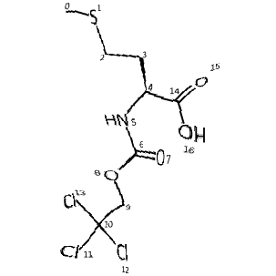 CSCC[C@H](NC(=O)OCC(Cl)(Cl)Cl)C(=O)O